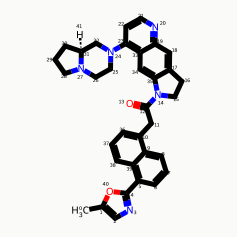 Cc1cnc(-c2cccc3c(CC(=O)N4CCc5cc6nccc(N7CCN8CCC[C@H]8C7)c6cc54)cccc23)o1